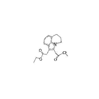 CCOC(=O)Cc1c(C(=O)OC)n2c3c(cccc13)CCC2